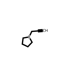 C#CCB1CCCC1